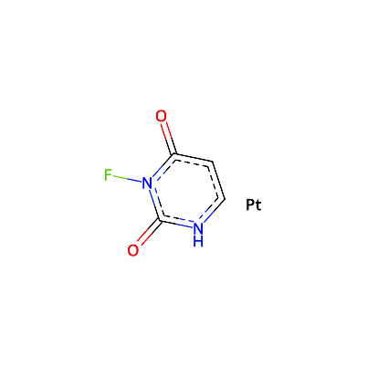 O=c1cc[nH]c(=O)n1F.[Pt]